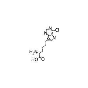 NC(CCCCn1cnc2c(Cl)ncnc21)C(=O)O